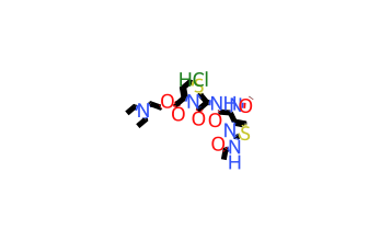 CCN(CC)CCOC(=O)C1=CCSC2C(NC(=O)C(=NOC)c3csc(NC(C)=O)n3)C(=O)N12.Cl